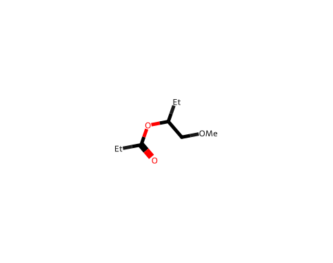 CCC(=O)OC(CC)COC